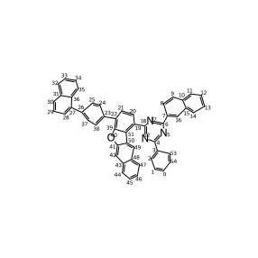 c1ccc(-c2nc(-c3ccc4ccccc4c3)nc(-c3ccc(-c4ccc(-c5cccc6ccccc56)cc4)c4oc5cc6ccccc6cc5c34)n2)cc1